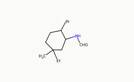 CCC1(C)CCC(C(C)C)C(NC=O)C1